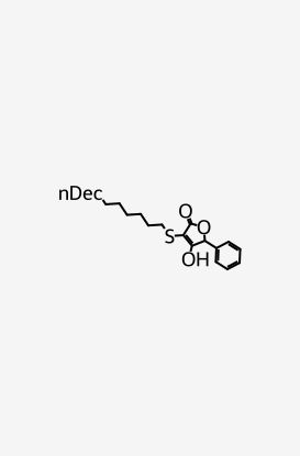 CCCCCCCCCCCCCCCCSC1=C(O)C(c2ccccc2)OC1=O